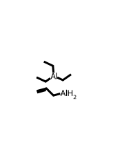 C=C[CH2][AlH2].C[CH2][Al]([CH2]C)[CH2]C